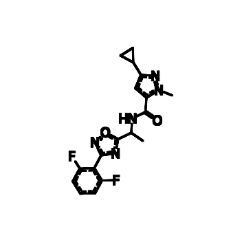 CC(NC(=O)c1cc(C2CC2)nn1C)c1nc(-c2c(F)cccc2F)no1